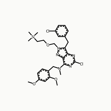 COc1ccc(CN(C)c2nc(Cl)nc3c(Cc4cccc(Cl)c4)n(COCC[Si](C)(C)C)nc23)c(OC)c1